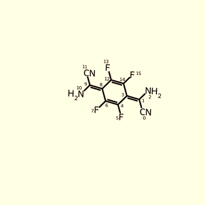 N#CC(N)=c1c(F)c(F)c(=C(N)C#N)c(F)c1F